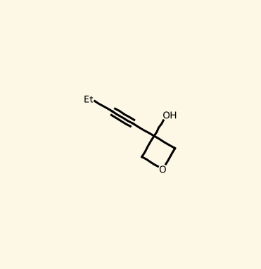 CCC#CC1(O)COC1